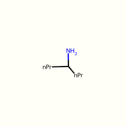 [CH2]CCC(N)CCC